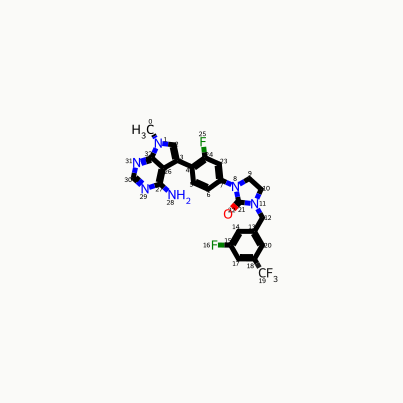 Cn1cc(-c2ccc(N3CCN(Cc4cc(F)cc(C(F)(F)F)c4)C3=O)cc2F)c2c(N)ncnc21